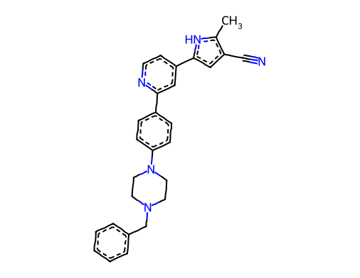 Cc1[nH]c(-c2ccnc(-c3ccc(N4CCN(Cc5ccccc5)CC4)cc3)c2)cc1C#N